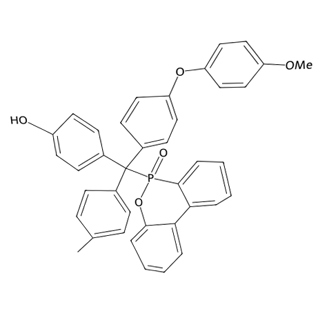 COc1ccc(Oc2ccc(C(c3ccc(C)cc3)(c3ccc(O)cc3)P3(=O)Oc4ccccc4-c4ccccc43)cc2)cc1